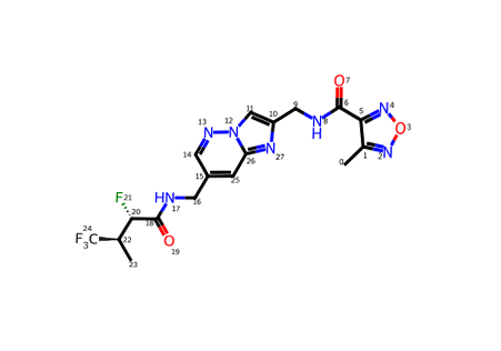 Cc1nonc1C(=O)NCc1cn2ncc(CNC(=O)[C@@H](F)[C@@H](C)C(F)(F)F)cc2n1